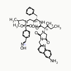 CC[C@H](C)[C@@H](C(=O)N[C@@H](Cc1ccccc1)[C@H](O)CN(CC(C)C)S(=O)(=O)c1ccc(/C=N/O)cc1)N1CC(=O)N(Cc2ccc3cc(N)ccc3n2)C1=O